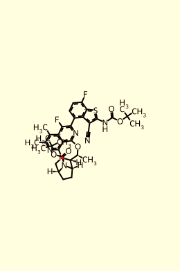 Cc1nc2c3c(nc(-c4ccc(F)c5sc(NC(=O)OC(C)(C)C)c(C#N)c45)c(F)c3c1C)O[C@@H](C)[C@@H]1[C@@H]3CC[C@H](CN21)N3C(=O)OC(C)(C)C